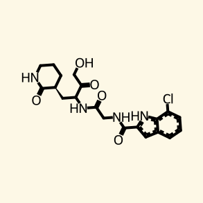 O=C(CNC(=O)c1cc2cccc(Cl)c2[nH]1)NC(C[C@@H]1CCCNC1=O)C(=O)CO